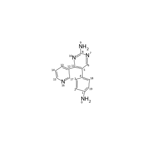 Nc1ccc(-c2cnc(N)nc2-c2cccnc2)cc1